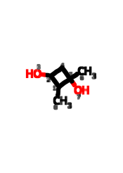 CC1C(O)CC1(C)O